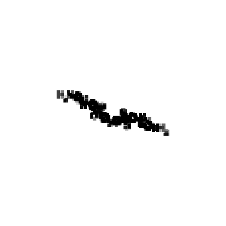 Nc1ccc(OC(=O)c2ccc3c(c2)C(=O)N(c2ccc(Sc4ccc(N5C(=O)c6ccc(C(=O)Oc7ccc(N)cn7)cc6C5=O)cc4)cc2)C3=O)nc1